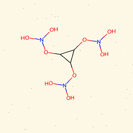 ON(O)OC1C(ON(O)O)C1ON(O)O